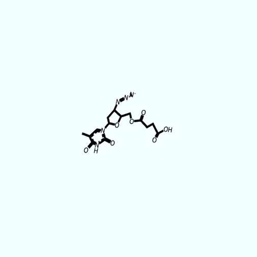 Cc1cn(C2CC(N=[N+]=[N-])C(COC(=O)CCC(=O)O)O2)c(=O)[nH]c1=O